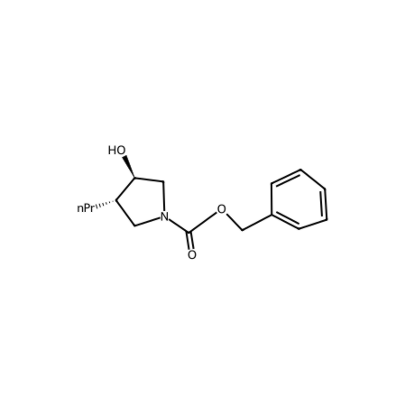 CCC[C@H]1CN(C(=O)OCc2ccccc2)C[C@@H]1O